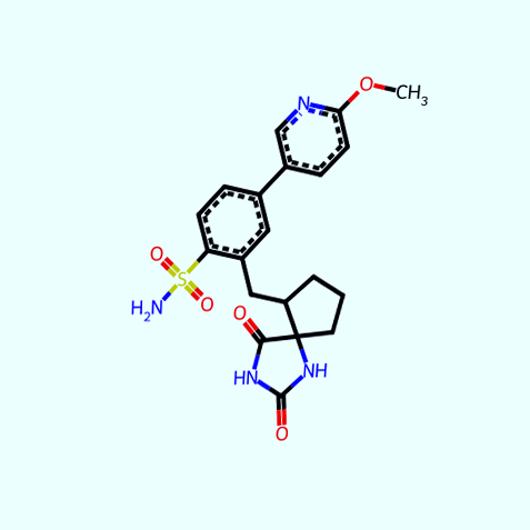 COc1ccc(-c2ccc(S(N)(=O)=O)c(CC3CCCC34NC(=O)NC4=O)c2)cn1